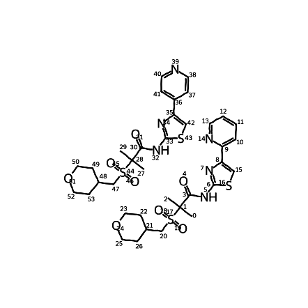 CC(C)(C(=O)Nc1nc(-c2ccccn2)cs1)S(=O)(=O)CC1CCOCC1.CC(C)(C(=O)Nc1nc(-c2ccncc2)cs1)S(=O)(=O)CC1CCOCC1